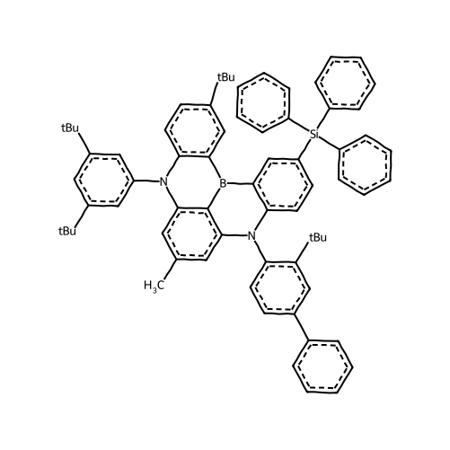 Cc1cc2c3c(c1)N(c1ccc(-c4ccccc4)cc1C(C)(C)C)c1ccc([Si](c4ccccc4)(c4ccccc4)c4ccccc4)cc1B3c1cc(C(C)(C)C)ccc1N2c1cc(C(C)(C)C)cc(C(C)(C)C)c1